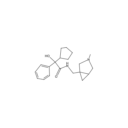 CN1CC2CC2(CNC(=O)C(O)(c2ccccc2)C2CCCC2)C1